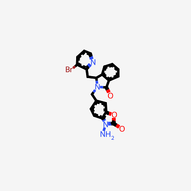 Nn1c(=O)oc2cc(CN3C(=O)c4ccccc4C3Cc3ncccc3Br)ccc21